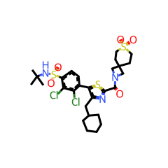 CC(C)(C)NS(=O)(=O)c1ccc(-c2sc(C(=O)N3CC4(CCS(=O)(=O)CC4)C3)nc2CC2CCCCC2)c(Cl)c1Cl